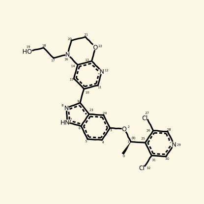 C[C@@H](Oc1ccc2[nH]nc(-c3cnc4c(c3)N(CCO)CCO4)c2c1)c1c(Cl)cncc1Cl